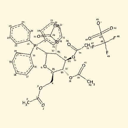 CC(=O)OC[C@H]1OC([P+](c2ccccc2)(c2ccccc2)c2ccccc2)[C@H](OC(C)=O)[C@@H](OC(C)=O)[C@@H]1OC(C)=O.O=S(=O)([O-])C(F)(F)F